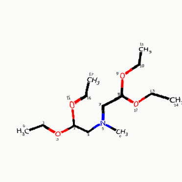 CCOC(CN(C)CC(OCC)OCC)OCC